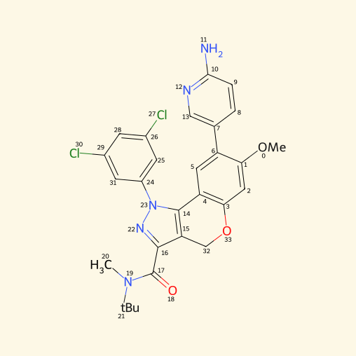 COc1cc2c(cc1-c1ccc(N)nc1)-c1c(c(C(=O)N(C)C(C)(C)C)nn1-c1cc(Cl)cc(Cl)c1)CO2